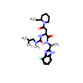 CCC1CCCCN1C(=O)CC(NC(=O)N(C)CC(C)C)C(=O)N[C@@H](C)c1nc2c(F)cccc2[nH]1